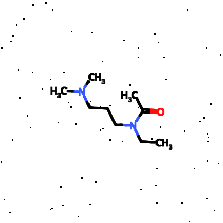 CCN(CCCN(C)C)C(C)=O